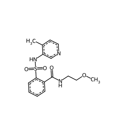 COCCNC(=O)c1ccccc1S(=O)(=O)Nc1cnccc1C